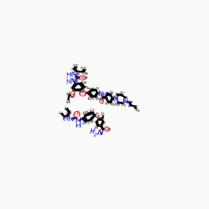 CCC(CC)NC(=O)Nc1ccc(Oc2ccc(C(N)=O)cc2C)cc1.CCCCN1CCCN(c2ccc(C(=O)Nc3ccc(Oc4ccc(NC(=O)NC(CC)CC)cc4OCC)cc3)cc2)CC1